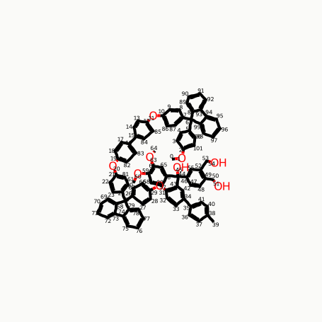 COc1ccc(C2(c3ccc(Oc4ccc(-c5ccc(Oc6ccc(C7(c8ccc(Oc9ccc(-c%10ccc(C)cc%10)cc9C(O)(c9ccc(CO)c(CO)c9)c9ccc(OC)c(OC)c9)cc8)c8ccccc8-c8ccccc87)cc6)cc5)cc4)cc3)c3ccccc3-c3ccccc32)cc1